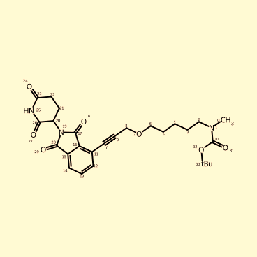 CN(CCCCCOCC#Cc1cccc2c1C(=O)N(C1CCC(=O)NC1=O)C2=O)C(=O)OC(C)(C)C